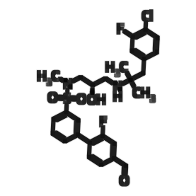 CN(C[C@H](O)CNC(C)(C)Cc1ccc(Cl)c(F)c1)S(=O)(=O)c1cccc(-c2ccc(C=O)cc2F)c1